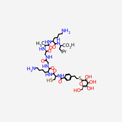 CC(C)CC(NC(=O)C(CCCCN)NC(=O)C(C)NC(=O)CNC(=O)CNC(=O)C(CCCCN)NC(=O)C(CS)NC(=O)c1ccc(CCS[C@@H]2O[C@H](CO)[C@H](O)[C@H](O)[C@H]2O)cc1)C(=O)O